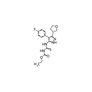 CCOC(=O)NC(=S)Nc1[nH]nc(C2CCOC2)c1-c1ccc(F)cc1